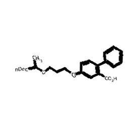 CCCCCCCCCCC(C)OCCCOc1ccc(-c2ccccc2)c(C(=O)O)c1